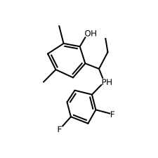 CCC(Pc1ccc(F)cc1F)c1cc(C)cc(C)c1O